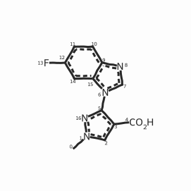 Cn1cc(C(=O)O)c(-n2cnc3ccc(F)cc32)n1